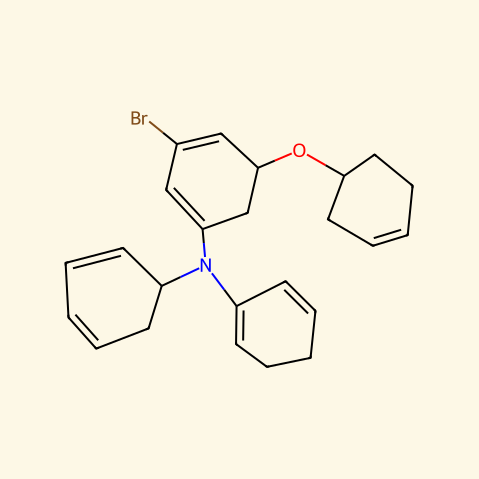 BrC1=CC(OC2CC=CCC2)CC(N(C2=CCCC=C2)C2C=CC=CC2)=C1